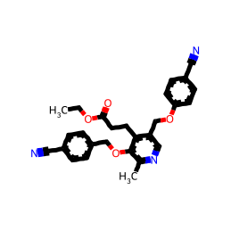 CCOC(=O)CCc1c(COc2ccc(C#N)cc2)cnc(C)c1OCc1ccc(C#N)cc1